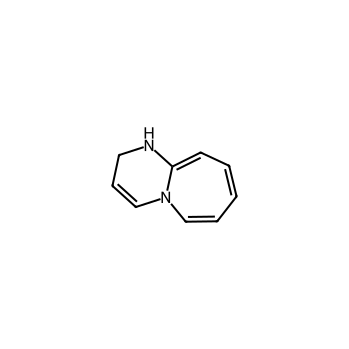 C1=CC=C2NCC=CN2C=C1